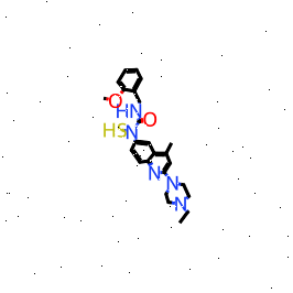 CCN1CCN(c2cc(C)c3cc(N(S)C(=O)NCc4ccccc4OC)ccc3n2)CC1